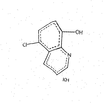 Oc1ccc(Cl)c2cccnc12.[KH]